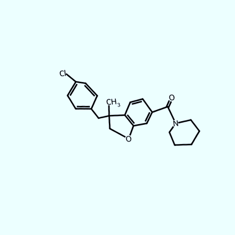 CC1(Cc2ccc(Cl)cc2)COc2cc(C(=O)N3CCCCC3)ccc21